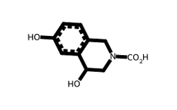 O=C(O)N1Cc2ccc(O)cc2C(O)C1